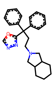 c1ccc(C(CCN2CC3CCCCC3C2)(c2ccccc2)c2nnco2)cc1